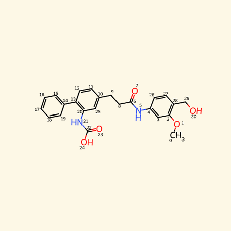 COc1cc(NC(=O)CCc2ccc(-c3ccccc3)c(NC(=O)O)c2)ccc1CO